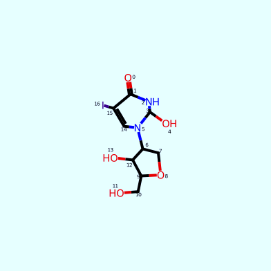 O=C1NC(O)N(C2COC(CO)C2O)C=C1I